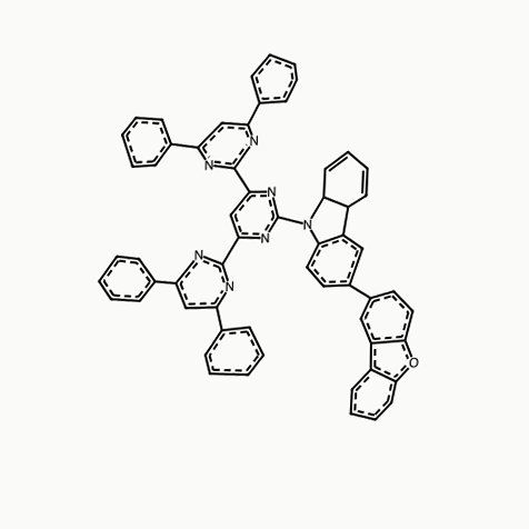 C1=CC2c3cc(-c4ccc5oc6ccccc6c5c4)ccc3N(c3nc(-c4nc(-c5ccccc5)cc(-c5ccccc5)n4)cc(-c4nc(-c5ccccc5)cc(-c5ccccc5)n4)n3)C2C=C1